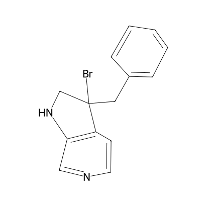 BrC1(Cc2ccccc2)CNc2cnccc21